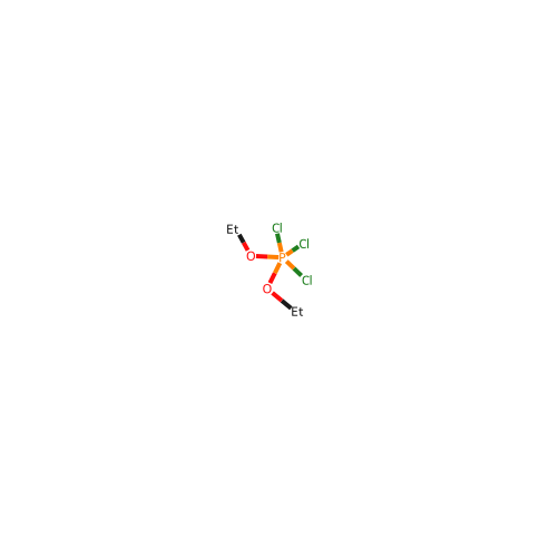 CCOP(Cl)(Cl)(Cl)OCC